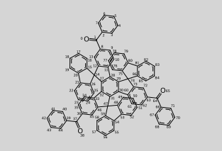 O=C(c1ccccc1)c1ccc2c(c1)C1(c3ccccc3-c3ccccc31)c1c-2c2c(c3c1-c1ccc(C(=O)c4ccccc4)cc1C31c3ccccc3-c3ccccc31)-c1ccc(C(=O)c3ccccc3)cc1C21c2ccccc2-c2ccccc21